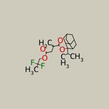 C=C(CC(=O)OCC(C)(F)F)C(=O)OC1(C(C)C)C2CC3CC(C2)CC1C3